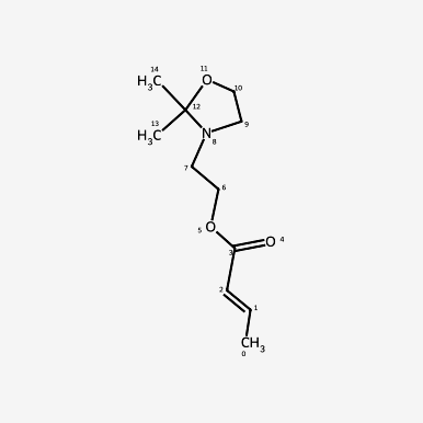 CC=CC(=O)OCCN1CCOC1(C)C